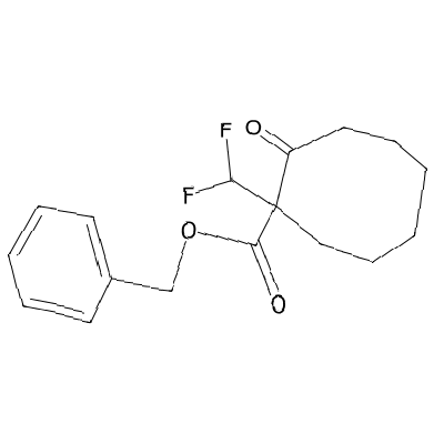 O=C1CCCCCCC1(C(=O)OCc1ccccc1)C(F)F